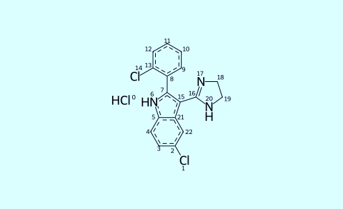 Cl.Clc1ccc2[nH]c(-c3ccccc3Cl)c(C3=NCCN3)c2c1